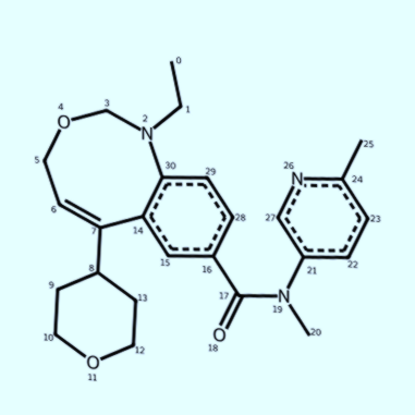 CCN1COC/C=C(/C2CCOCC2)c2cc(C(=O)N(C)c3ccc(C)nc3)ccc21